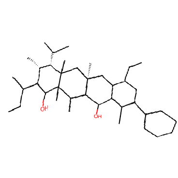 CCC(C)C1C(O)C2(C)C(C)C3C(O)C4C(C)C(C5CCCCC5)CC(CC)C4C[C@]3(C)CC2(C)[C@@H](C(C)C)[C@H]1C